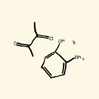 CC(=O)C(C)=O.Nc1ccccc1O.[Ti]